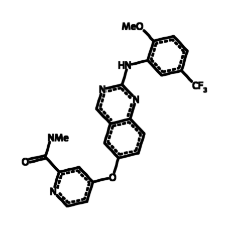 CNC(=O)c1cc(Oc2ccc3nc(Nc4cc(C(F)(F)F)ccc4OC)ncc3c2)ccn1